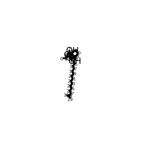 CCCCC1(C(=O)O)CCCCC1(CCCCCCCCCCCCCCCC(C)C)C(=O)O